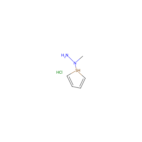 CN(N)[SH]1C=CC=C1.Cl